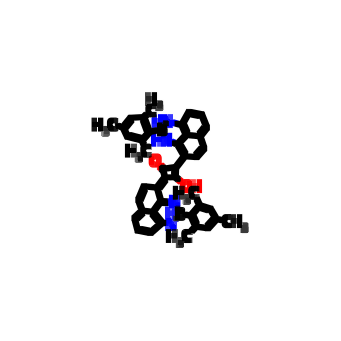 Cc1cc(C)c(B2N=c3/c(=C4/C(=O)C(c5ccc6cccc7c6c5NB(c5c(C)cc(C)cc5C)N7)=C4O)ccc4cccc(c34)N2)c(C)c1